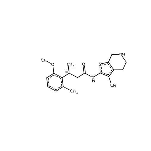 CCOc1cccc(C)c1[C@@H](C)CC(=O)Nc1sc2c(c1C#N)CCNC2